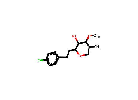 COC1C(C)COC(CCc2ccc(Cl)cc2)C1O